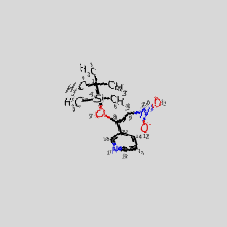 CC(C)(C)[Si](C)(C)OC(C[N+](=O)[O-])c1cccnc1